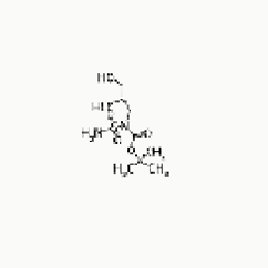 CC(C)(C)OC(=O)N(CC(O)CO)S(N)(=O)=O